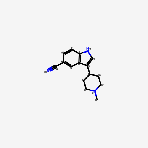 CN1CCC(c2c[nH]c3ccc(C#N)cc23)CC1